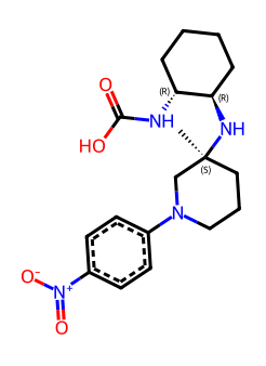 C[C@]1(N[C@@H]2CCCC[C@H]2NC(=O)O)CCCN(c2ccc([N+](=O)[O-])cc2)C1